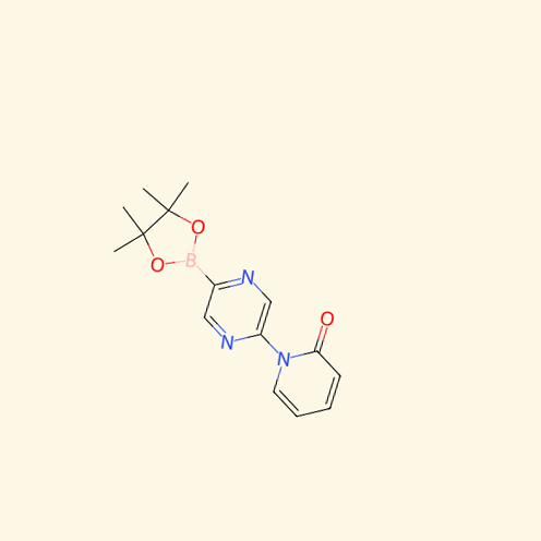 CC1(C)OB(c2cnc(-n3ccccc3=O)cn2)OC1(C)C